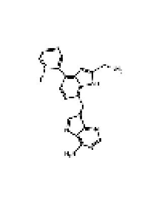 NCc1cc2c(-c3ccccc3F)ccc(Cn3cnc4c(N)ncnc43)c2[nH]1